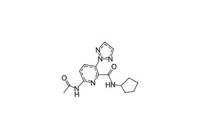 CC(=O)Nc1ccc(-n2nccn2)c(C(=O)NC2CCCC2)n1